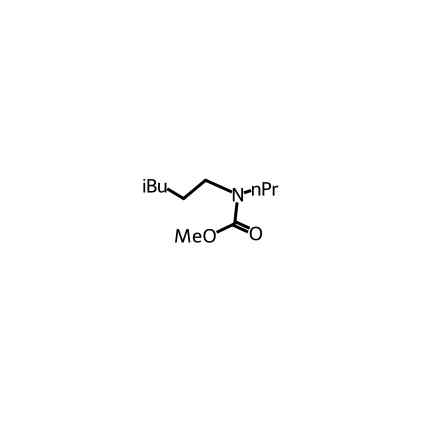 CCCN(CCC(C)CC)C(=O)OC